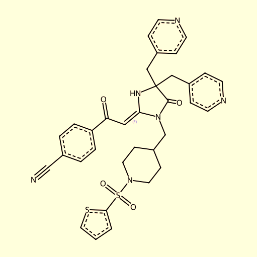 N#Cc1ccc(C(=O)/C=C2\NC(Cc3ccncc3)(Cc3ccncc3)C(=O)N2CC2CCN(S(=O)(=O)c3cccs3)CC2)cc1